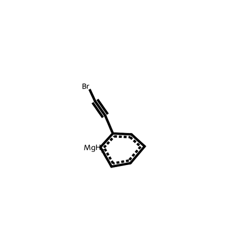 BrC#Cc1ccccc1.[MgH2]